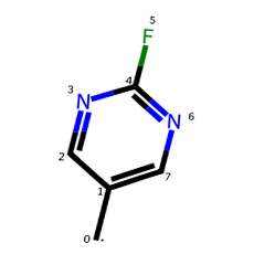 [CH2]c1cnc(F)nc1